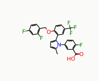 Cc1ccc(-c2cc(C(F)(F)F)ccc2OCc2ccc(F)cc2F)n1-c1ccc(F)c(C(=O)O)c1